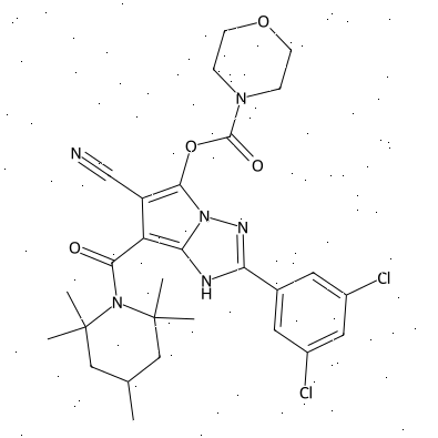 CC1CC(C)(C)N(C(=O)c2c(C#N)c(OC(=O)N3CCOCC3)n3nc(-c4cc(Cl)cc(Cl)c4)[nH]c23)C(C)(C)C1